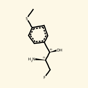 CSc1ccc([C@@H](O)[C@H](N)CF)cc1